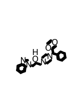 OC(CN1CCN(C(C2=CC=CCC2)C2=COC=CO2)CC1)Cn1cnc2ccccc21